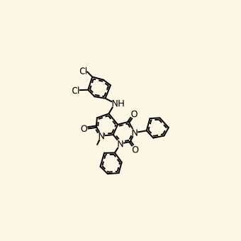 Cn1c(=O)cc(Nc2ccc(Cl)c(Cl)c2)c2c(=O)n(-c3ccccc3)c(=O)n(-c3ccccc3)c21